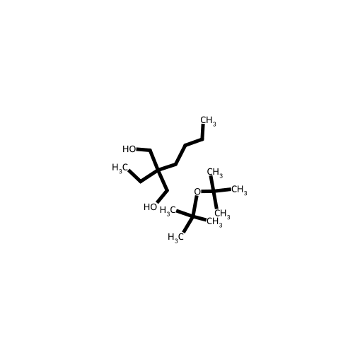 CC(C)(C)OC(C)(C)C.CCCCC(CC)(CO)CO